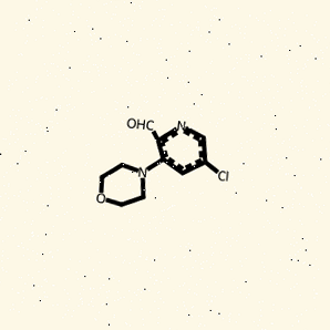 O=Cc1ncc(Cl)cc1N1CCOCC1